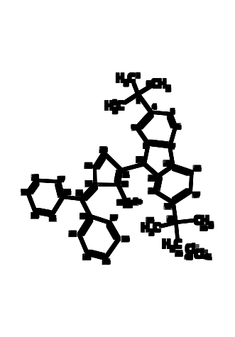 CC(C)(C)c1ccc2c(c1)C(C1=[C]([Zr+2])C(=C(c3ccccc3)c3ccccc3)C=C1)c1cc(C(C)(C)C)ccc1-2.[Cl-].[Cl-]